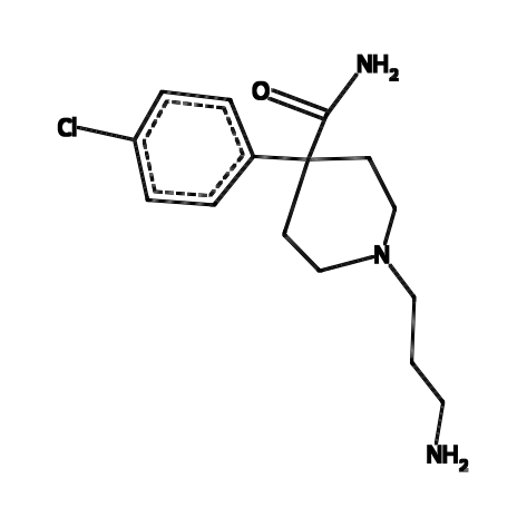 NCCCN1CCC(C(N)=O)(c2ccc(Cl)cc2)CC1